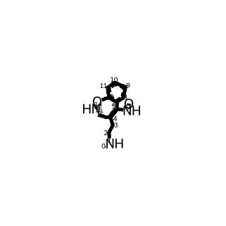 CNCCC1=C2NOc3cccc(c32)ONC1